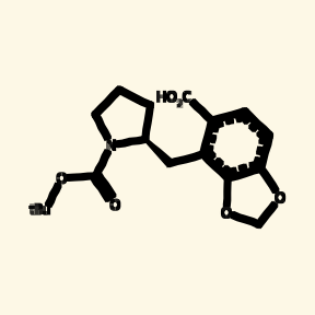 CC(C)(C)OC(=O)N1CCC[C@H]1Cc1c(C(=O)O)ccc2c1OCO2